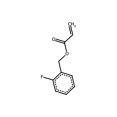 C=CC(=O)OCc1ccccc1F